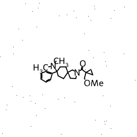 COCC1(C(=O)N2CCC3(CCC(c4ccccc4)(N(C)C)CC3)C2)CC1